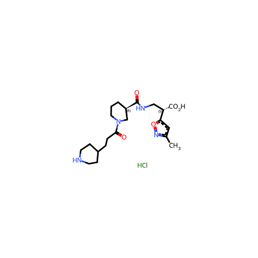 Cc1cc([C@H](CNC(=O)[C@@H]2CCCN(C(=O)CCC3CCNCC3)C2)C(=O)O)on1.Cl